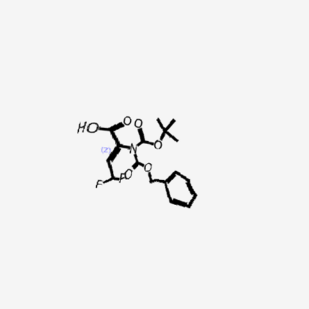 CC(C)(C)OC(=O)N(C(=O)OCc1ccccc1)/C(=C\C(F)F)C(=O)O